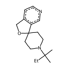 CCC(C)(C)N1CCC2(CC1)OCc1ccncc12